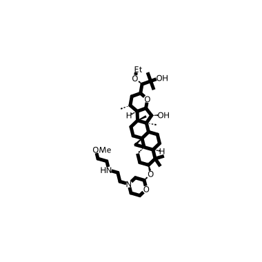 CCO[C@@H](C1C[C@@H](C)[C@H]2C(O1)[C@H](O)[C@@]1(C)C3CC[C@H]4C(C)(C)[C@@H](O[C@H]5CN(CCNCCOC)CCO5)CC[C@@]45C[C@@]35CC[C@]21C)C(C)(C)O